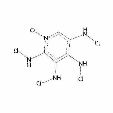 [O-][n+]1cc(NCl)c(NCl)c(NCl)c1NCl